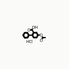 CC(=O)Oc1ccc(-c2ccccc2)c(C(=O)O)c1.Cl